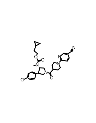 CN(C(=O)OCCC1CC1)[C@@H]1CN(C(=O)C2CCN(c3ccc(C#N)cn3)CC2)C[C@H]1c1ccc(Cl)cc1